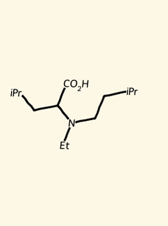 CCN(CCC(C)C)C(CC(C)C)C(=O)O